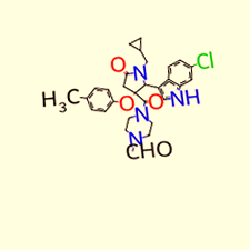 Cc1ccc(OC2(C(=O)N3CCN(C=O)CC3)CC(=O)N(CC3CC3)C2c2c[nH]c3cc(Cl)ccc23)cc1